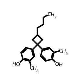 CCCCC1CC(c2ccc(O)c(C)c2)(c2ccc(O)c(C)c2)C1